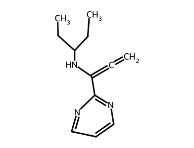 C=C=C(NC(CC)CC)c1ncccn1